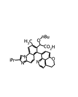 CCCCOC(C(=O)O)c1c(C)cc2c(ccc3nc(C(C)C)cn32)c1-c1ccc2c3c(ccnc13)CCO2